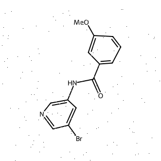 COc1cccc(C(=O)Nc2cncc(Br)c2)c1